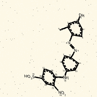 Cc1cc(O)ccc1/N=N/c1ccc(Nc2ccc(S(=O)(=O)O)cc2[N+](=O)[O-])cc1